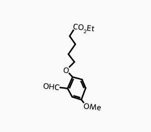 CCOC(=O)CCCCOc1ccc(OC)cc1C=O